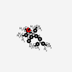 CC(C)(C)c1ccc(N2B3c4sc5ccc(C(C)(C)C)cc5c4N(c4ccc(C(C)(C)C)cc4-c4ccccc4)c4c3c(cc3c4oc4ccccc43)-c3cc4c(cc32)sc2ccc(N(c3ccc(C(C)(C)C)cc3)c3ccc(C(C)(C)C)cc3)cc24)cc1